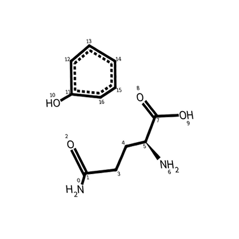 NC(=O)CC[C@H](N)C(=O)O.Oc1ccccc1